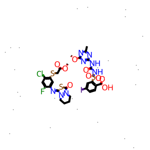 COC(=O)CSc1cc(/N=c2\sc(=O)n3n2CCCC3)c(F)cc1Cl.COc1nc(C)nc(NC(=O)NS(=O)(=O)c2cc(I)ccc2C(=O)O)n1